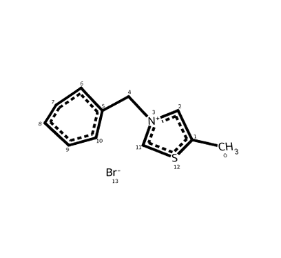 Cc1c[n+](Cc2ccccc2)cs1.[Br-]